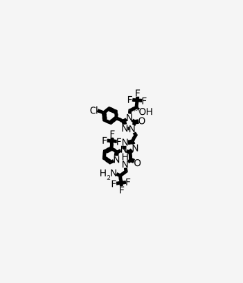 NC(CNC(=O)c1nc(Cn2nc(-c3ccc(Cl)cc3)n(C[C@H](O)C(F)(F)F)c2=O)nn1-c1ncccc1C(F)(F)F)C(F)(F)F